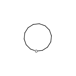 C1CCCCCCOCCCCCC1